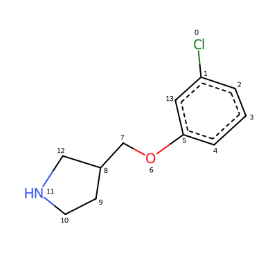 Clc1cccc(OCC2CCNC2)c1